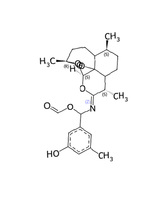 Cc1cc(O)cc(C(/N=C2\O[C@H]3O[C@@]4(C)CCC5[C@@H](C)CCC([C@@H]2C)C53OO4)OC=O)c1